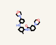 Cc1ccc(Nc2cccc(N3CCOCC3)c2)cc1NC(=O)c1cccc(N2CCOCC2)c1